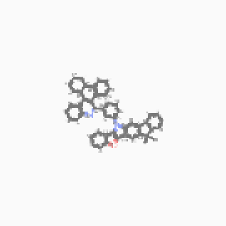 CC1(C)c2ccccc2-c2cc3c(cc21)c1oc2ccccc2c1n3-c1cccc(-c2nc3ccccc3c3c4ccccc4c4ccccc4c23)c1